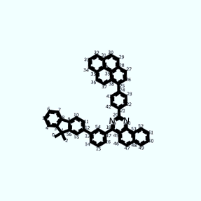 CC1(C)c2ccccc2-c2ccc(-c3cccc(-c4nc(-c5ccc(-c6ccc7ccc8cccc9ccc6c7c89)cc5)nc5c4ccc4ccccc45)c3)cc21